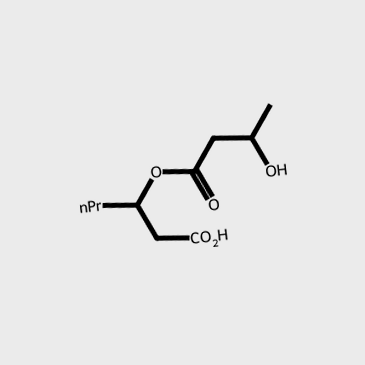 CCCC(CC(=O)O)OC(=O)CC(C)O